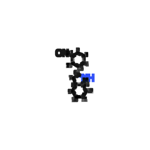 O=Nc1cccc(-c2cc3ccccc3[nH]2)c1